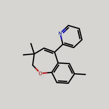 Cc1ccc2c(c1)C(c1ccccn1)=CC(C)(C)CO2